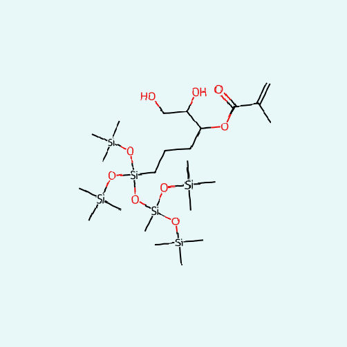 C=C(C)C(=O)OC(CCC[Si](O[Si](C)(C)C)(O[Si](C)(C)C)O[Si](C)(O[Si](C)(C)C)O[Si](C)(C)C)C(O)CO